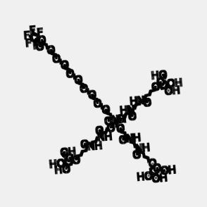 O=C(CCCCO[C@H]1C[C@@H](O)[C@@H](O)[C@@H](CO)O1)NCCCNC(=O)CCOCC(COCCC(=O)NCCCNC(=O)CCCCO[C@H]1C[C@@H](O)[C@@H](O)[C@@H](CO)O1)(COCCC(=O)NCCCNC(=O)CCCCO[C@H]1C[C@@H](O)[C@@H](O)[C@@H](CO)O1)NC(=O)CCOCCOCCOCCOCCOCCOCCOCCOCCOCCC(=O)Oc1c(F)c(F)c(F)c(F)c1F